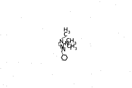 CCCN1CCN(/N=C/c2ccccc2)C1=[N+](C)C.[I-]